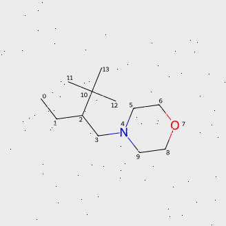 CCC(CN1CCOCC1)C(C)(C)C